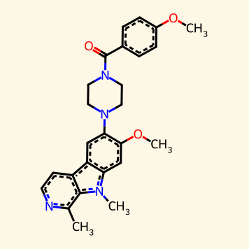 COc1ccc(C(=O)N2CCN(c3cc4c5ccnc(C)c5n(C)c4cc3OC)CC2)cc1